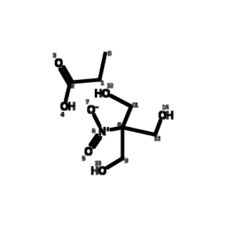 CCC(=O)O.O=[N+]([O-])C(CO)(CO)CO